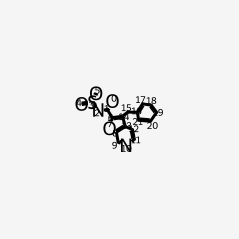 O=C(N=S(=O)=O)c1oc2cnccc2c1Cc1ccccc1